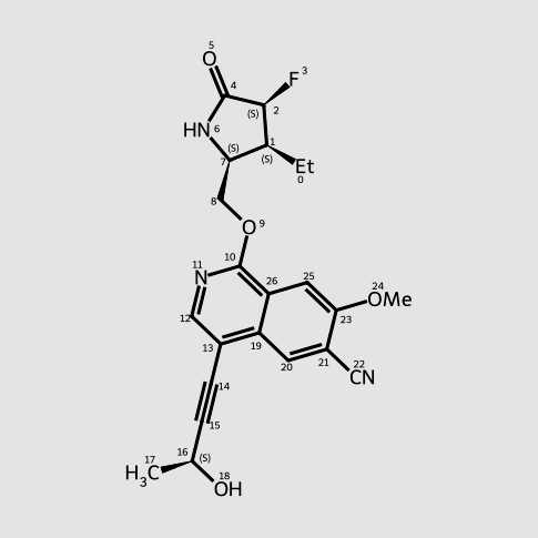 CC[C@@H]1[C@H](F)C(=O)N[C@@H]1COc1ncc(C#C[C@H](C)O)c2cc(C#N)c(OC)cc12